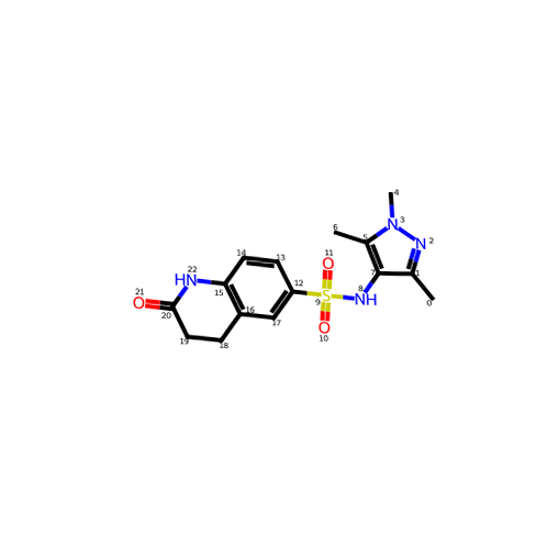 Cc1nn(C)c(C)c1NS(=O)(=O)c1ccc2c(c1)CCC(=O)N2